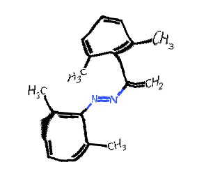 C=C(N=Nc1c(C)cccc1C)c1c(C)cccc1C